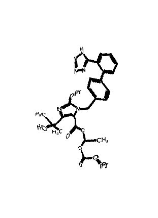 CCCc1nc(C(C)(C)O)c(C(=O)OC(C)OC(=O)OC(C)C)n1Cc1ccc(-c2ccccc2-c2nnn[nH]2)cc1